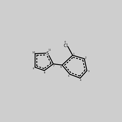 Clc1[c]cccc1-c1cccs1